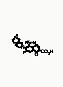 CNn1cc(C(=O)O)c(=O)c2cc(F)c(N3CCC4(CCN(C)C4)C3)c(F)c21